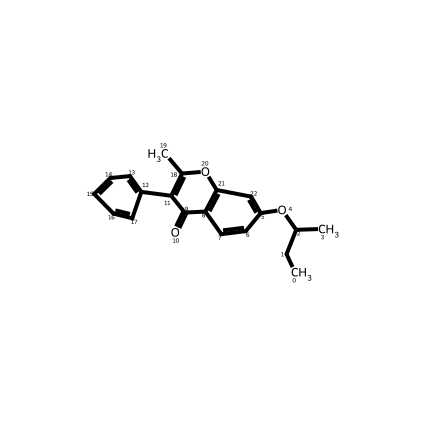 CCC(C)Oc1ccc2c(=O)c(-c3ccccc3)c(C)oc2c1